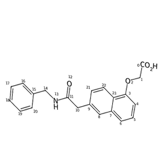 O=C(O)COc1cccc2cc(CC(=O)NCc3ccccc3)ccc12